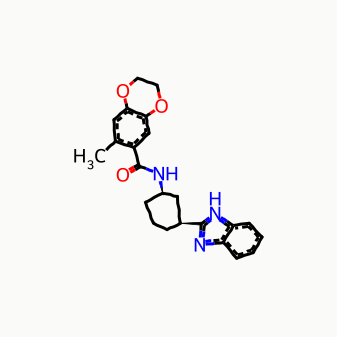 Cc1cc2c(cc1C(=O)N[C@@H]1CCC[C@H](c3nc4ccccc4[nH]3)C1)OCCO2